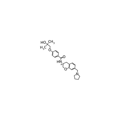 CC(C)(O)COc1ccc(C(=O)N[C@H]2COc3cc(CN4CCCC4)ccc3C2)cc1